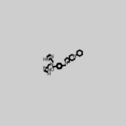 O=C(c1ccc(CN2CCC3(CCN(C4CCCCC4)CC3)C2)cc1)N(Cc1ncc[nH]1)Cc1ncc[nH]1